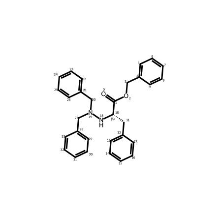 O=C(OCc1ccccc1)[C@H](Cc1ccccc1)NN(Cc1ccccc1)Cc1ccccc1